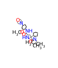 COc1cc(N2CCOCC2)ccc1NC(=O)C1CC2(CN1)C(=O)N(CC(C)(C)C)c1ccccc12